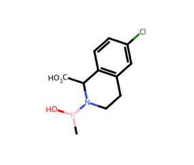 CB(O)N1CCc2cc(Cl)ccc2C1C(=O)O